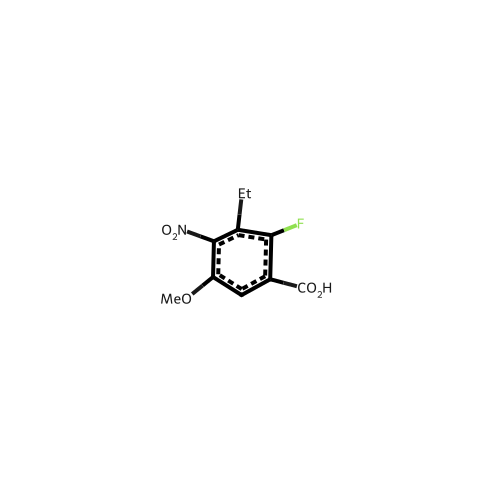 CCc1c(F)c(C(=O)O)cc(OC)c1[N+](=O)[O-]